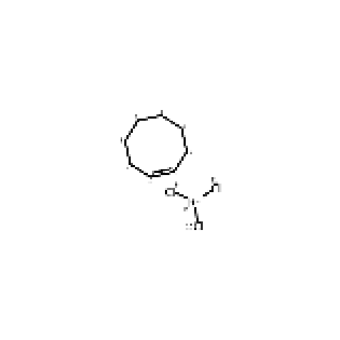 C1=CCCCCCC1.[Cl][Rh]([Cl])[Cl]